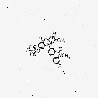 C[C@@H]1CN([C@@H](c2cccc(OS(=O)(=O)C(F)(F)F)c2)c2cccc(C(=O)N(C)c3cccc(F)c3)c2)[C@@H](C)CN1